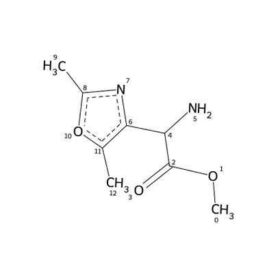 COC(=O)C(N)c1nc(C)oc1C